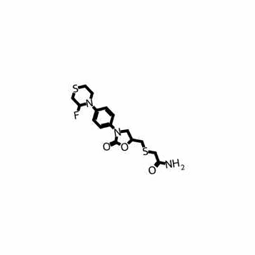 NC(=O)CSCC1CN(c2ccc(N3CCSCC3F)cc2)C(=O)O1